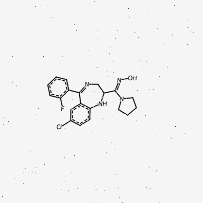 ON=C(C1CN=C(c2ccccc2F)c2cc(Cl)ccc2N1)N1CCCC1